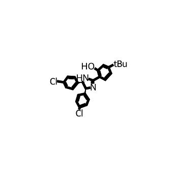 CC(C)(C)c1ccc(C2=N[C@@H](c3ccc(Cl)cc3)[C@@H](c3ccc(Cl)cc3)N2)c(O)c1